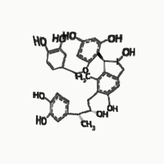 Cc1c(C[C@H](O)[C@H](C)c2ccc(O)c(O)c2)c(O)cc2c1[C@@H](c1c(O)cc(O)cc1OCC1C=CC(O)=C(O)C1)I(O)C2